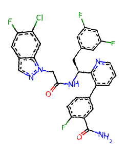 NC(=O)c1cc(-c2cccnc2[C@H](Cc2cc(F)cc(F)c2)NC(=O)Cn2ncc3cc(F)c(Cl)cc32)ccc1F